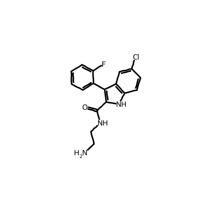 NCCNC(=O)c1[nH]c2ccc(Cl)cc2c1-c1ccccc1F